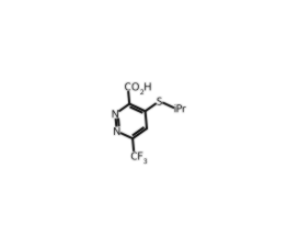 CC(C)Sc1cc(C(F)(F)F)nnc1C(=O)O